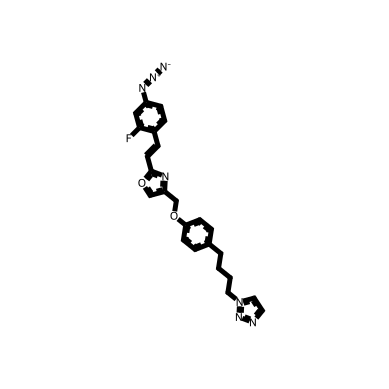 [N-]=[N+]=Nc1ccc(C=Cc2nc(COc3ccc(CCCCn4ccnn4)cc3)co2)c(F)c1